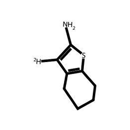 [2H]c1c(N)sc2c1CCCC2